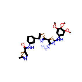 COc1cc(Nc2nc(N)c(-c3nc(-c4cccc(NC(=O)c5cnc(C)s5)c4)cs3)s2)cc(OC)c1OC